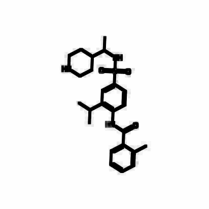 Cc1ccccc1C(=O)Nc1ccc(S(=O)(=O)NC(C)C2CCNCC2)cc1C(C)C